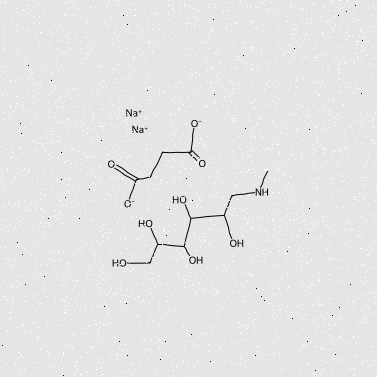 CNCC(O)C(O)C(O)C(O)CO.O=C([O-])CCC(=O)[O-].[Na+].[Na+]